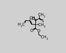 C=CC(C)=C[C@@](C)(C(=O)OCC)C(=O)C(C)=S